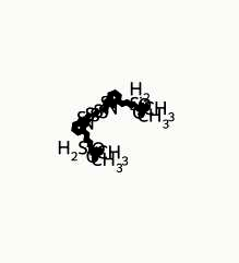 COC(OC)[SiH2]CCCc1cccc2sc(SSSSc3nc4c(CCC[SiH2]C(OC)OC)cccc4s3)nc12